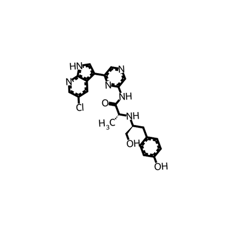 C[C@@H](N[C@H](CO)Cc1ccc(O)cc1)C(=O)Nc1cncc(-c2c[nH]c3ncc(Cl)cc23)n1